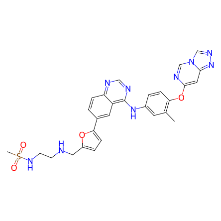 Cc1cc(Nc2ncnc3ccc(-c4ccc(CNCCNS(C)(=O)=O)o4)cc23)ccc1Oc1cc2nncn2cn1